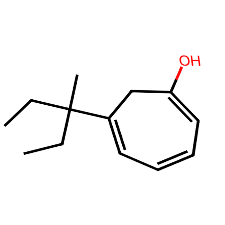 CCC(C)(CC)C1=CC=CC=C(O)C1